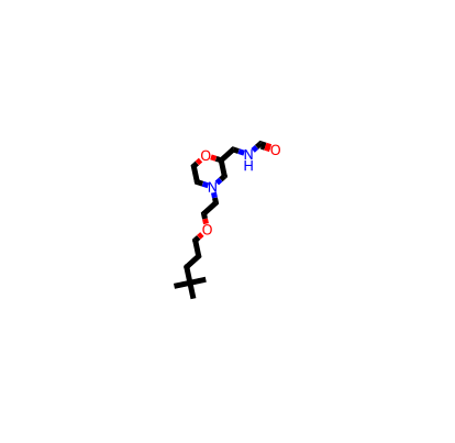 CC(C)(C)CCCOCCN1CCOC(CNC=O)C1